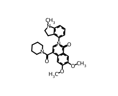 COc1cc2c(C(=O)N3CCCCC3)cn(-c3cccc4c3CCN4C)c(=O)c2cc1OC